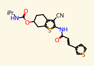 CC(C)NC(=O)OC1CCc2c(sc(NC(=O)C=Cc3ccsc3)c2C#N)C1